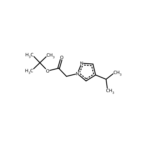 CC(C)c1cnn(CC(=O)OC(C)(C)C)c1